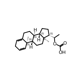 CC(OC(=O)O)[C@H]1CC[C@H]2[C@@H]3CCC4=CCC=C[C@]4(C)[C@H]3CC[C@]12C